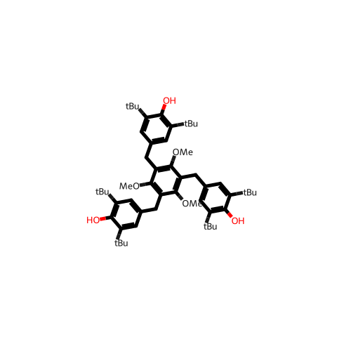 COc1c(Cc2cc(C(C)(C)C)c(O)c(C(C)(C)C)c2)c(OC)c(Cc2cc(C(C)(C)C)c(O)c(C(C)(C)C)c2)c(OC)c1Cc1cc(C(C)(C)C)c(O)c(C(C)(C)C)c1